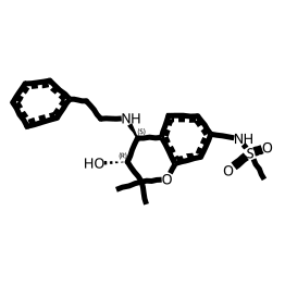 CC1(C)Oc2cc(NS(C)(=O)=O)ccc2[C@H](NCCc2ccccc2)[C@H]1O